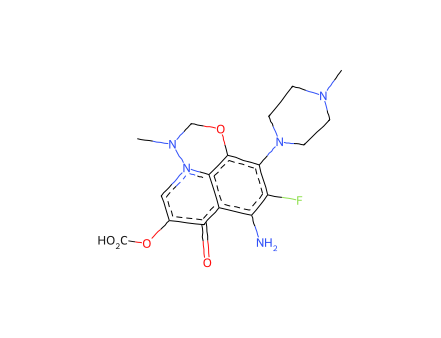 CN1CCN(c2c(F)c(N)c3c(=O)c(OC(=O)O)cn4c3c2OCN4C)CC1